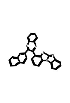 c1ccc2cc(-c3nc4ccccc4nc3-c3cccc4c3sc3nc5ccccc5n34)ccc2c1